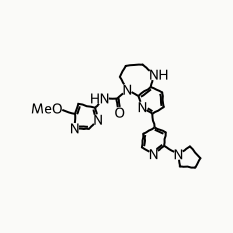 COc1cc(NC(=O)N2CCCNc3ccc(-c4ccnc(N5CCCC5)c4)nc32)ncn1